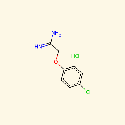 Cl.N=C(N)COc1ccc(Cl)cc1